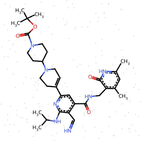 Cc1cc(C)c(CNC(=O)c2cc(C3=CCN(C4CCN(C(=O)OC(C)(C)C)CC4)CC3)nc(NC(C)C)c2C=N)c(=O)[nH]1